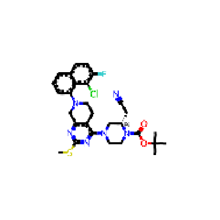 CSc1nc2c(c(N3CCN(C(=O)OC(C)(C)C)[C@@H](CC#N)C3)n1)CCN(c1cccc3ccc(F)c(Cl)c13)C2